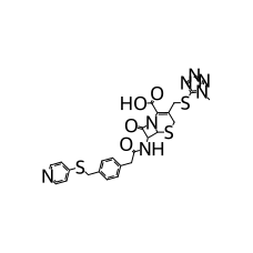 Cn1nnnc1SCC1=C(C(=O)O)N2C(=O)C(NC(=O)Cc3ccc(CSc4ccncc4)cc3)C2SC1